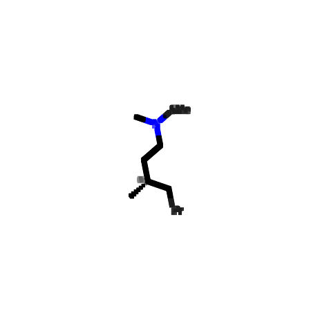 CSN(C)CC[C@@H](C)CC(C)C